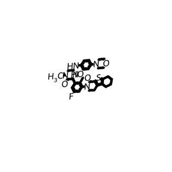 CN1C[C@@H](Nc2ccc(N3CCOCC3)cc2)N=C(c2cc(F)cc(N3CCc4c(sc5c4CCCC5)C3=O)c2CO)C1=O